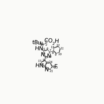 CC(C)(C)[C@@H](CC(=O)O)Nc1cc(-c2ccccc2)nc(-c2c[nH]c3ncc(F)cc23)n1